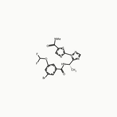 CNC(=O)c1cnc(-n2ncnc2[C@H](C)NC(=O)c2cc(Br)cc(OC(F)F)c2)s1